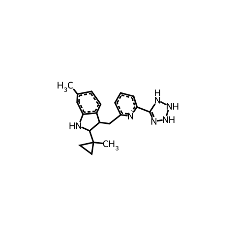 Cc1ccc2c(c1)NC(C1(C)CC1)C2Cc1cccc(C2=NNNN2)n1